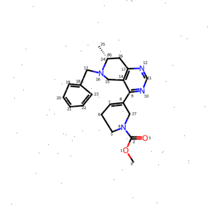 COC(=O)N1CCC=C(c2ncnc3c2CN(Cc2ccccc2)[C@H](C)C3)C1